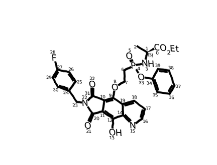 CCOC(=O)[C@H](C)NP(=O)(CCOc1c2c(c(O)c3ncccc13)C(=O)N(Cc1ccc(F)cc1)C2=O)Oc1ccccc1